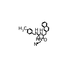 Cc1ccc(CNC(=O)NC(Cc2ccc3ccccc3c2)C(=O)NCC#N)cc1